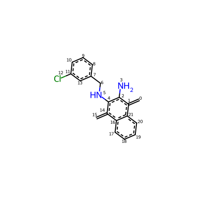 C=c1c(N)c(NCc2cccc(Cl)c2)c(=C)c2ccccc12